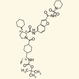 CC(C)(C)OC(=O)N[C@H](CF)C1CCC(C(=O)N2CC[C@@H](C3CCCCC3)[C@H]2C(=O)Nc2ccc3oc(C(=O)NS(=O)(=O)N4CCCCC4)cc3c2)CC1